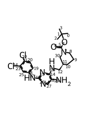 CC(C)(C)OC(=O)N1CCC[C@@H](CNc2nc(Nc3ccc(Cl)c(Cl)c3)ncc2N)C1